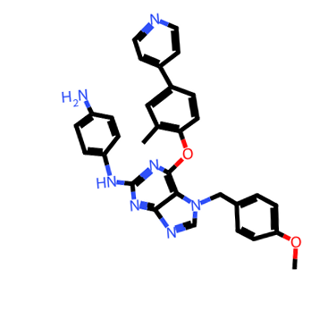 COc1ccc(Cn2cnc3nc(Nc4ccc(N)cc4)nc(Oc4ccc(-c5ccncc5)cc4C)c32)cc1